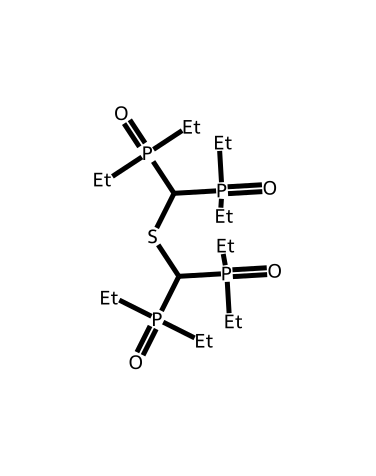 CCP(=O)(CC)C(SC(P(=O)(CC)CC)P(=O)(CC)CC)P(=O)(CC)CC